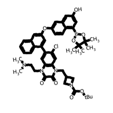 CN(C)CCn1c(=O)c(=O)n(CC2CN(C(=O)OC(C)(C)C)C2)c2cc(Cl)c(-c3cc(Oc4ccc5c(B6OC(C)(C)C(C)(C)O6)cc(O)cc5c4)cc4ccccc34)cc21